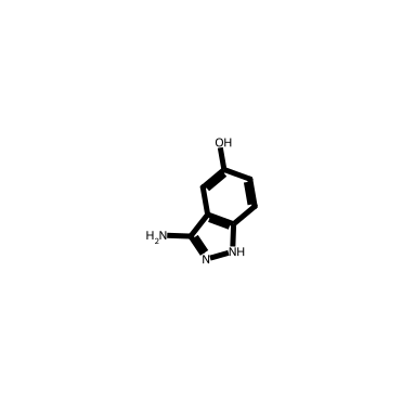 Nc1n[nH]c2ccc(O)cc12